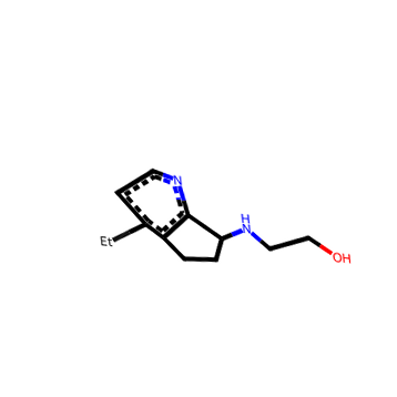 CCc1ccnc2c1CCC2NCCO